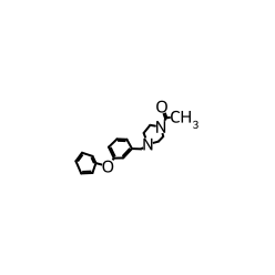 CC(=O)N1CCN(Cc2cccc(Oc3ccccc3)c2)CC1